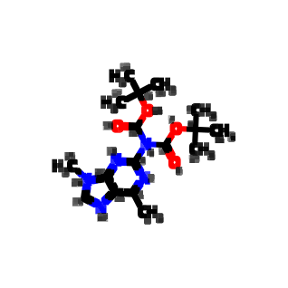 Cc1nc(N(C(=O)OC(C)(C)C)C(=O)OC(C)(C)C)nc2c1ncn2C